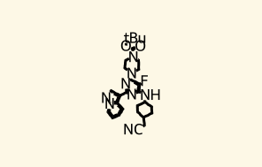 CC(C)(C)OC(=O)N1CCN(c2nc(-c3cnn4ccccc34)nc(NC3CCC(CC#N)CC3)c2F)CC1